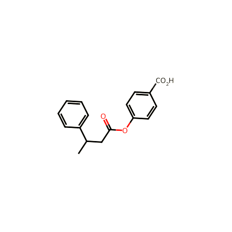 CC(CC(=O)Oc1ccc(C(=O)O)cc1)c1ccccc1